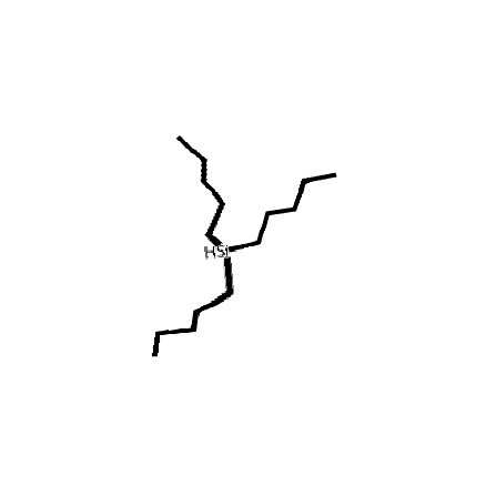 CCCCC[SiH](CCCCC)CCCCC